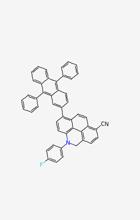 N#Cc1ccc2c3c1ccc1c(-c4ccc5c(-c6ccccc6)c6ccccc6c(-c6ccccc6)c5c4)ccc(c13)N(c1ccc(F)cc1)C2